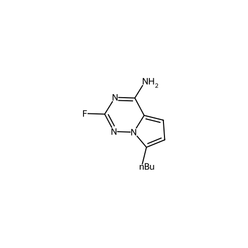 CCCCc1ccc2c(N)nc(F)nn12